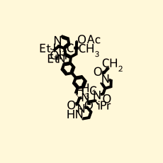 C=CC(=O)N1CCC(C(=O)N(C)[C@H](C(=O)N[C@@H](Cc2cccc(-c3ccc4c(c3)c(CC(C)(C)COC(C)=O)c(-c3cccnc3[C@H](O)CC)n4CC)c2)C(=O)N2CCCCN2)C(C)C)C1